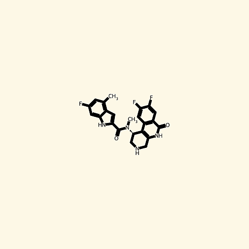 Cc1cc(F)cc2[nH]c(C(=O)N(C)[C@H]3CNCc4[nH]c(=O)c5cc(F)c(F)cc5c43)cc12